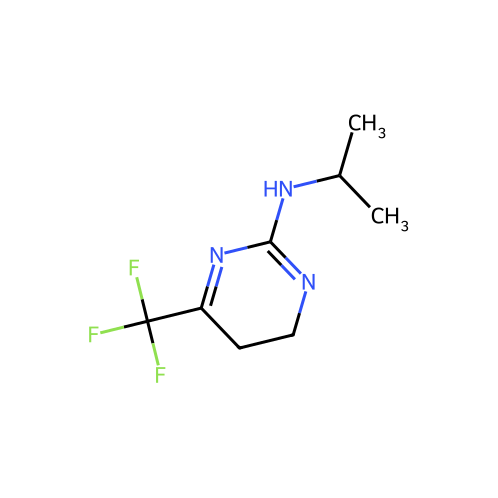 CC(C)NC1=NCCC(C(F)(F)F)=N1